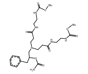 CC(C)(C)OC(=O)NCCNC(=O)CCN(CCC(=O)NCCNC(=O)OC(C)(C)C)CC(Cc1ccccc1)OC(N)=O